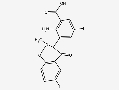 CN1Oc2ccc(I)cc2C(=O)C1c1cc(I)cc(C(=O)O)c1N